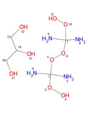 NC(N)(OO)OOC(N)(N)OO.OCC(O)CO